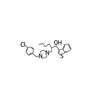 CCCCC(CN1CCN(Cc2ccc(Cl)cc2)CC1)C(O)c1csc2ccccc12